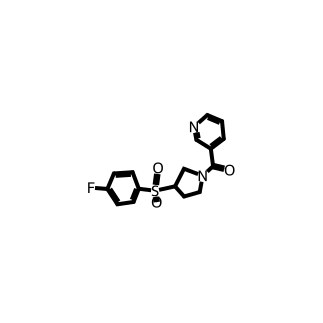 O=C(c1cccnc1)N1CCC(S(=O)(=O)c2ccc(F)cc2)C1